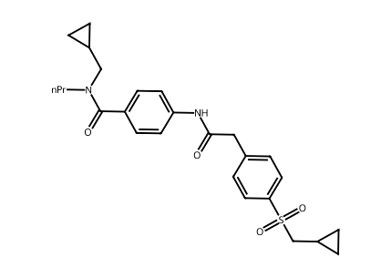 CCCN(CC1CC1)C(=O)c1ccc(NC(=O)Cc2ccc(S(=O)(=O)CC3CC3)cc2)cc1